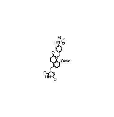 COc1ccc(CC2SC(=O)NC2=O)c2c1N(Cc1ccc(NS(C)(=O)=O)cc1)C(=O)CC2